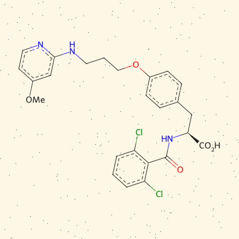 COc1ccnc(NCCCOc2ccc(C[C@H](NC(=O)c3c(Cl)cccc3Cl)C(=O)O)cc2)c1